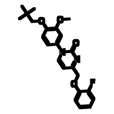 COc1cc(-n2ccc(COc3ccccc3F)nc2=O)ccc1OCC(C)(C)C